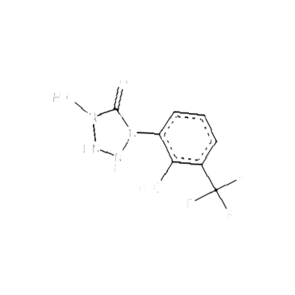 Cc1c(N2NNN(C)C2=O)cccc1C(F)(F)F